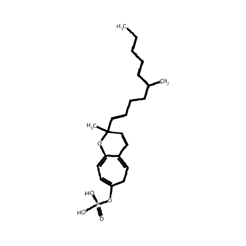 CCCCCC(C)CCCCC1(C)CCC2=CCC(OP(=O)(O)O)=CC=C2O1